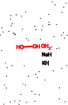 O.OO.[KH].[NaH]